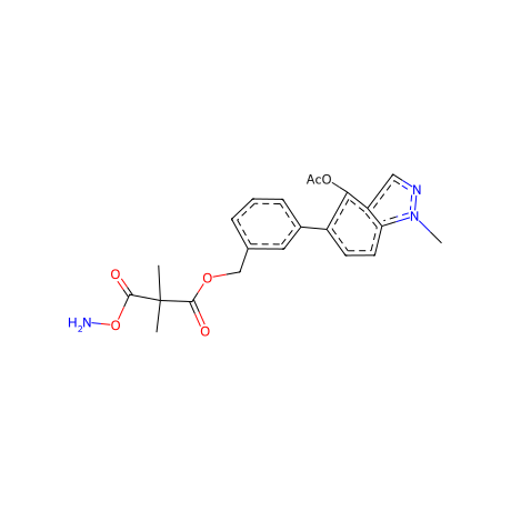 CC(=O)Oc1c(-c2cccc(COC(=O)C(C)(C)C(=O)ON)c2)ccc2c1cnn2C